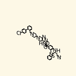 CN(C)CCC(CSc1ccccc1)Nc1ccc(S(=O)(=O)Nc2ncnc3c2CCN(C2CCN(Cc4ccccc4-c4ccc(Cl)cc4)CC2)C3)cc1C#N